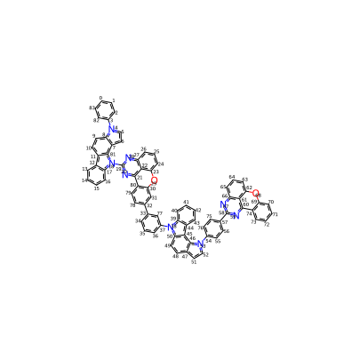 c1ccc(-n2ccc3c2ccc2c4ccccc4n(-c4nc5c6c(cccc6n4)Oc4cc(-c6cccc(-n7c8ccccc8c8c9c(ccc87)ccn9-c7ccc(-c8nc9c%10c(cccc%10n8)Oc8ccccc8-9)cc7)c6)ccc4-5)c23)cc1